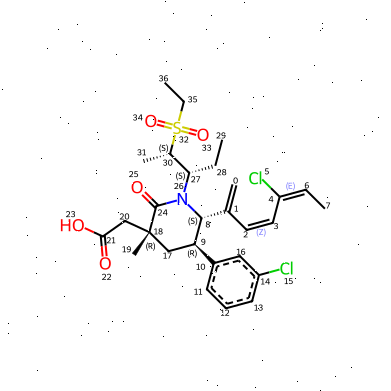 C=C(/C=C\C(Cl)=C/C)[C@@H]1[C@@H](c2cccc(Cl)c2)C[C@](C)(CC(=O)O)C(=O)N1[C@@H](CC)[C@H](C)S(=O)(=O)CC